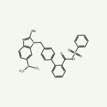 CCCCc1nc2ccc(N(C)C)cc2n1Cc1ccc(-c2ccccc2C(=O)NS(=O)(=O)c2ccccc2)cc1